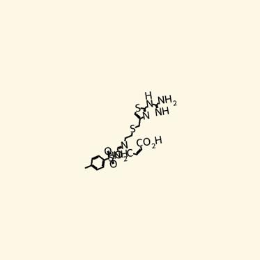 Cc1ccc(S(=O)(=O)NC=NCCSCc2csc(NC(=N)N)n2)cc1.O=C(O)/C=C\C(=O)O